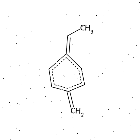 C=c1ccc(=CC)cc1